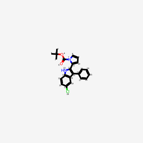 CC(C)(C)OC(=O)n1cccc1-c1[nH]c2ccc(Cl)cc2c1-c1ccccc1